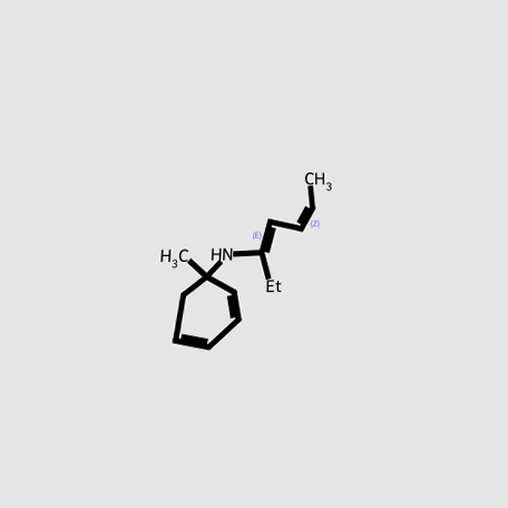 C/C=C\C=C(/CC)NC1(C)C=CC=CC1